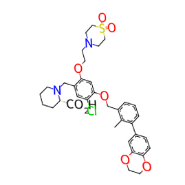 Cc1c(COc2cc(OCCN3CCS(=O)(=O)CC3)c(CN3CCCC[C@H]3C(=O)O)cc2Cl)cccc1-c1ccc2c(c1)OCCO2